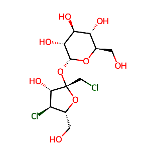 OC[C@H]1O[C@H](O[C@]2(CCl)O[C@H](CO)[C@@H](Cl)[C@@H]2O)[C@H](O)[C@@H](O)[C@@H]1O